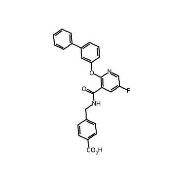 O=C(O)c1ccc(CNC(=O)c2cc(F)cnc2Oc2cccc(-c3ccccc3)c2)cc1